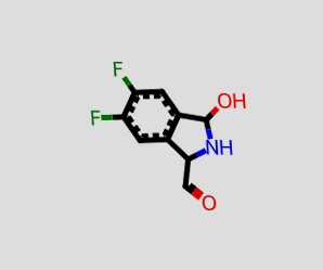 O=CC1NC(O)c2cc(F)c(F)cc21